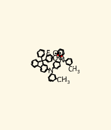 Cc1cccc(N(c2ccc(N(c3ccccc3)c3cccc(C)c3)c(OS(=O)(=O)C(F)(F)F)c2)c2ccc3c(c2)C(c2ccccc2)(c2ccccc2)c2ccccc2-3)c1